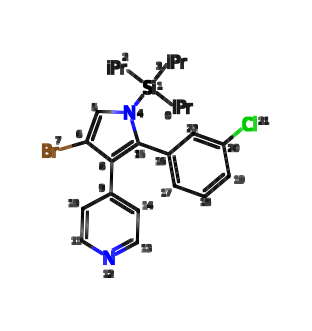 CC(C)[Si](C(C)C)(C(C)C)n1cc(Br)c(-c2ccncc2)c1-c1cccc(Cl)c1